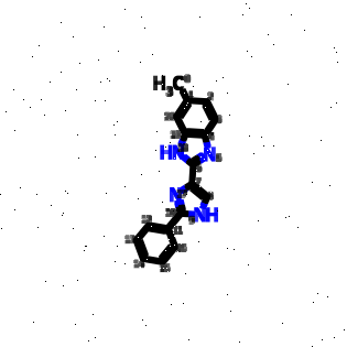 Cc1ccc2nc(-c3c[nH]c(-c4ccccc4)n3)[nH]c2c1